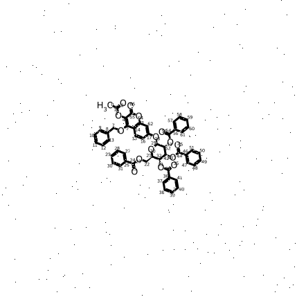 CC(=O)Oc1c(OCc2ccccc2)c2ccc(O[C@@H]3O[C@H](COC(=O)c4ccccc4)[C@H](OC(=O)c4ccccc4)[C@H](OC(=O)c4ccccc4)[C@H]3OC(=O)c3ccccc3)cc2oc1=O